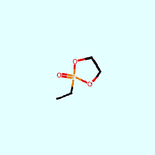 CCP1(=O)OCCO1